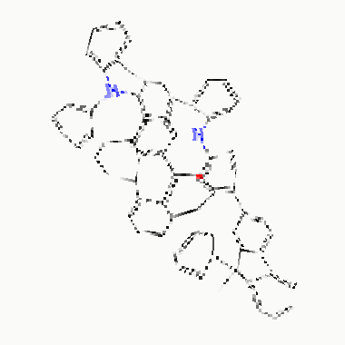 CC1(c2ccccc2)c2ccccc2-c2ccc(-c3ccc(N(c4ccccc4-c4ccc5c(c4)c4ccccc4n5-c4ccccc4)c4ccccc4-c4cccc5cccc(C6CCCCC6)c45)cc3)cc21